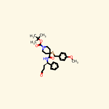 COc1ccc(CSC2(C(=O)N[C@H](CCC=O)c3ccccc3)CCN(C(=O)OC(C)(C)C)CC2)cc1